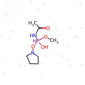 CO[PH](O)(NC(C)=O)ON1CCCC1